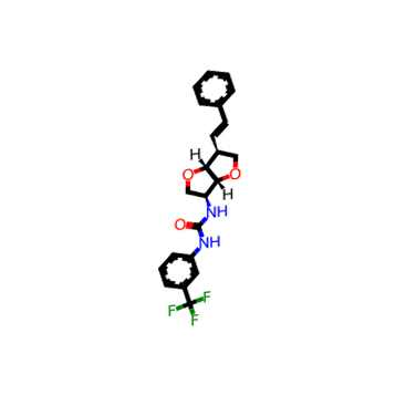 O=C(Nc1cccc(C(F)(F)F)c1)N[C@H]1CO[C@H]2[C@@H]1OC[C@@H]2C=Cc1ccccc1